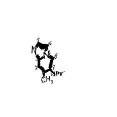 Cc1cc2nccn2cc1C(C)C